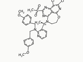 COc1ccc(CN(Cc2ccc(OC)cc2)c2ncccc2[C@@H](C)N2CCOc3nc(Cl)c(Cl)c4nc(S(C)(=O)=O)nc2c34)cc1